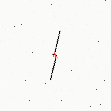 CCCCCCCCCCCCCCCCCCOC(C)OC(C)OCCCCCCCCCCCCCCCCCC